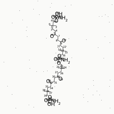 CC(C)(CCC(=O)CCC(=O)CCC(C)(C)COP(N)(=O)OCC(C)(C)CCC(=O)CCC(=O)CCC(C)(C)COP(N)(=O)O)COP(N)(=O)O